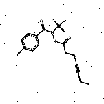 CCC#CCCC(=O)NN(C(=O)c1ccc(Cl)cc1)C(C)(C)C